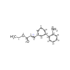 CCOC(=O)/C=N/c1cccc(-c2ccccc2N)c1